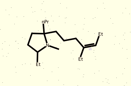 CC/C=C(/CC)CCCC1(CCC)CCC(CC)N1C